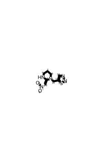 O=[N+]([O-])C=C1NCCCN1Cc1cnns1